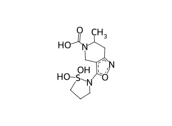 CC1Cc2noc(N3CCCS3(O)O)c2CN1C(=O)O